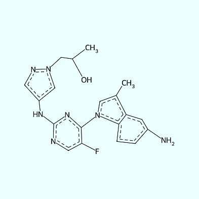 Cc1cn(-c2nc(Nc3cnn(CC(C)O)c3)ncc2F)c2ccc(N)cc12